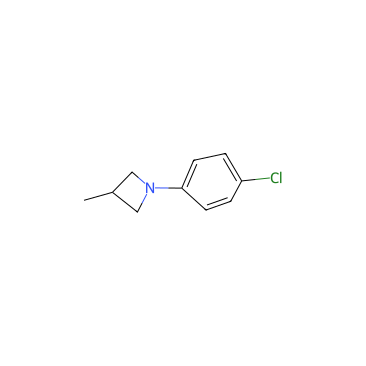 CC1CN(c2ccc(Cl)cc2)C1